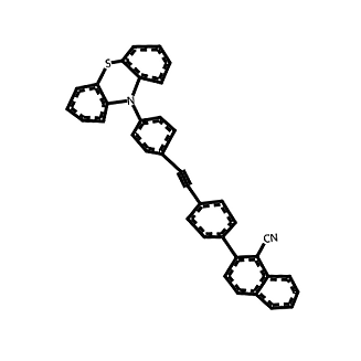 N#Cc1c(-c2ccc(C#Cc3ccc(N4c5ccccc5Sc5ccccc54)cc3)cc2)ccc2ccccc12